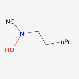 CCCCCN(O)C#N